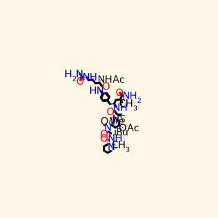 CC[C@H](C)[C@H](NC(=O)[C@H]1CCCCN1C)C(=O)N(COC)[C@H](C[C@@H](OC(C)=O)c1nc(C(=O)N[C@@H](Cc2ccc(NC(=O)[C@H](CCCNC(N)=O)NC(C)=O)cc2)CC(C)C(N)=O)cs1)C(C)C